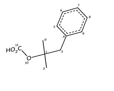 CC(C)(Cc1ccccc1)OC(=O)O